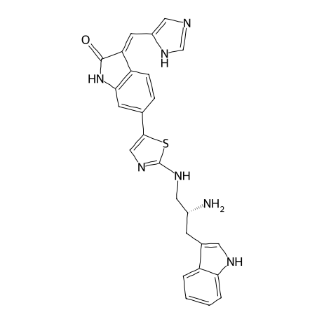 N[C@@H](CNc1ncc(-c2ccc3c(c2)NC(=O)/C3=C/c2cnc[nH]2)s1)Cc1c[nH]c2ccccc12